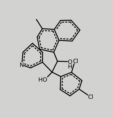 Cc1ccc(C(O)C(O)(c2cccnc2)c2ccc(Cl)cc2Cl)c2ccccc12